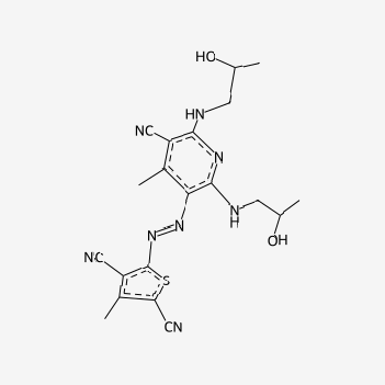 Cc1c(C#N)sc(N=Nc2c(NCC(C)O)nc(NCC(C)O)c(C#N)c2C)c1C#N